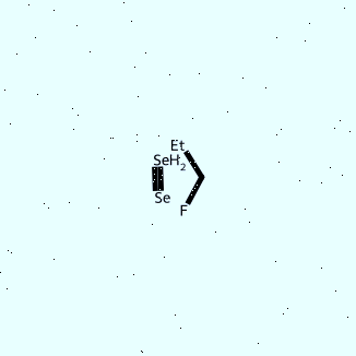 CCCF.[Se]=[SeH2]